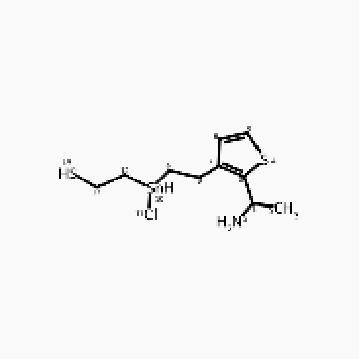 CC(N)c1sccc1C[CH2][SnH]([Cl])[CH2]CS